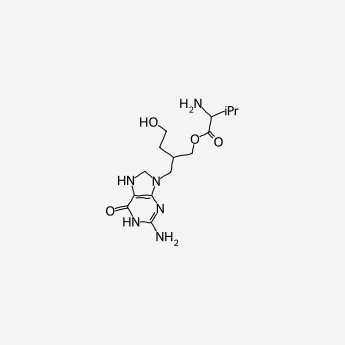 CC(C)C(N)C(=O)OCC(CCO)CN1CNc2c1nc(N)[nH]c2=O